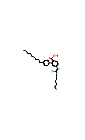 CCCCCCCCCc1ccc(-c2cc(C(F)=C(F)CCCCCCC)ccc2C(=O)O)cc1